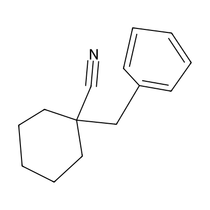 N#CC1(Cc2ccccc2)CCCCC1